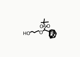 CC(C)(C)S(=O)(=O)C(OCCCO)[C]12[CH]3[CH]4[CH]5[CH]1[Fe]45321678[CH]2[CH]1[CH]6[CH]7[CH]28